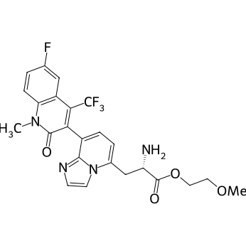 COCCOC(=O)[C@@H](N)Cc1ccc(-c2c(C(F)(F)F)c3cc(F)ccc3n(C)c2=O)c2nccn12